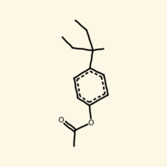 CCC(C)(CC)c1ccc(OC(C)=O)cc1